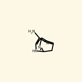 Nc1cc2nc3nc([nH]c13)C2